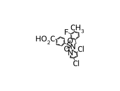 Cc1ccc(CN(c2ncc(Cl)cc2Cl)S(=O)(=O)c2ccc(C(=O)O)cc2)cc1F